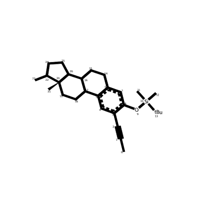 CC#Cc1cc2c(cc1O[Si](C)(C)C(C)(C)C)CCC1C2CC[C@]2(C)C(C)CCC12